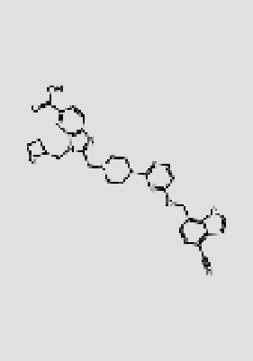 N#Cc1ccc(COc2cccc(C3CCN(Cc4nc5ccc(C(=O)O)nc5n4C[C@@H]4CCO4)CC3)n2)c2occc12